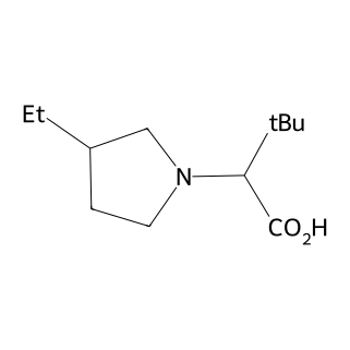 [CH2]CC1CCN(C(C(=O)O)C(C)(C)C)C1